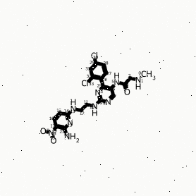 CNCC(=O)Nc1cnc(NCCNc2ccc([N+](=O)[O-])c(N)n2)nc1-c1ccc(Cl)cc1Cl